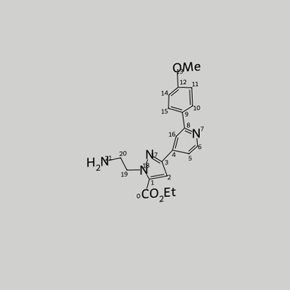 CCOC(=O)c1cc(-c2ccnc(-c3ccc(OC)cc3)c2)nn1CCN